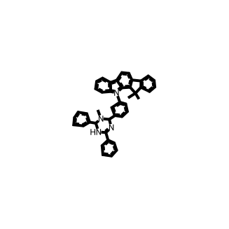 CN1C(c2cccc(-n3c4ccccc4c4ccc5c(c43)C(C)(C)c3ccccc3-5)c2)N=C(c2ccccc2)NC1c1ccccc1